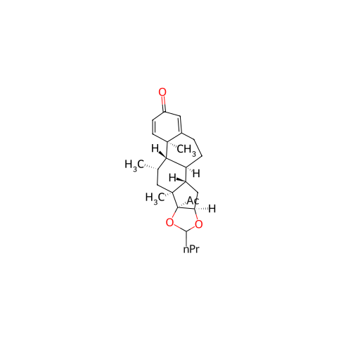 CCCC1O[C@@H]2C[C@H]3[C@@H]4CCC5=CC(=O)C=C[C@]5(C)[C@H]4[C@@H](C)C[C@]3(C)[C@]2(C(C)=O)O1